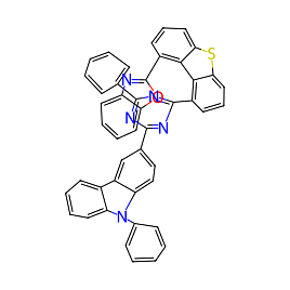 c1ccc(-c2nc(-c3ccc4c(c3)c3ccccc3n4-c3ccccc3)nc(-c3cccc4sc5cccc(-c6nc7ccccc7o6)c5c34)n2)cc1